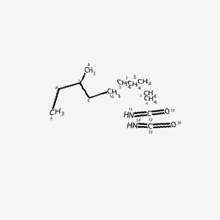 C.C.C.C.C.CCC(C)CC.N=C=O.N=C=O